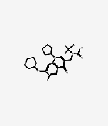 CC(C)(C)N(Cc1cn(C2CCCC2)c2cc(NC3CCCCC3)c(F)cc2c1=O)C(=O)O